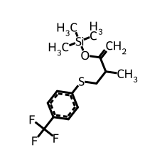 C=C(O[Si](C)(C)C)C(C)CSc1ccc(C(F)(F)F)cc1